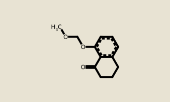 COCOc1cccc2c1C(=O)CCC2